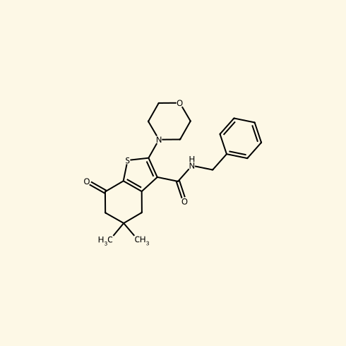 CC1(C)CC(=O)c2sc(N3CCOCC3)c(C(=O)NCc3ccccc3)c2C1